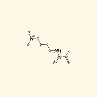 C=C(C)C(=O)N[CH]CCCN(C)C